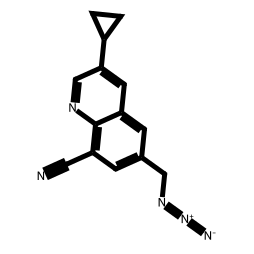 N#Cc1cc(CN=[N+]=[N-])cc2cc(C3CC3)cnc12